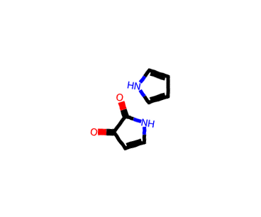 O=C1C=CNC1=O.c1cc[nH]c1